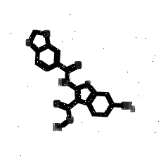 CC1CCc2c(sc(NC(=O)C3=CC4OCOC4C=C3)c2C(=O)OC(C)C)C1